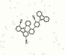 N#Cc1ccc2c(c1)c1cccc(C#N)c1n2-c1ccccc1-c1ccccc1-c1ccc(-n2c3ccccc3c3ccccc32)c(C#N)c1